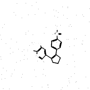 COc1cc(C2=C(c3ccc(S(C)(=O)=O)cc3)CCC2)cnc1C